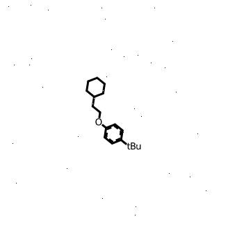 CC(C)(C)c1ccc(OCCC2CCCCC2)cc1